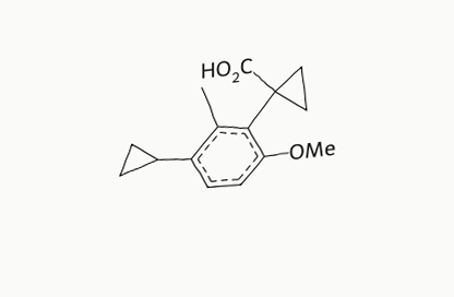 COc1ccc(C2CC2)c(C)c1C1(C(=O)O)CC1